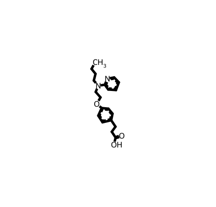 CCCCN(CCOc1ccc(CCC(=O)O)cc1)c1ccccn1